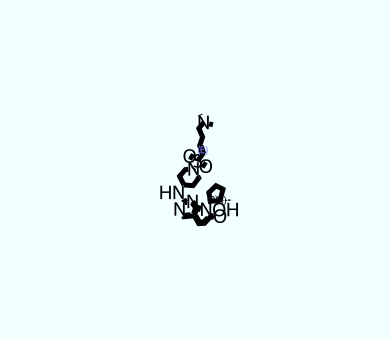 CN(C)CC/C=C/S(=O)(=O)N1CCC(Nc2ncc3ccc(=O)n([C@@H]4CCC[C@@]4(C)O)c3n2)CC1